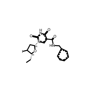 CC[C@H]1O[C@@H](n2cc(C(=O)NCc3ccccc3)c(=O)[nH]c2=O)CC1I